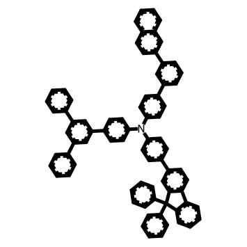 c1ccc(-c2cc(-c3ccccc3)cc(-c3ccc(N(c4ccc(-c5cccc(-c6ccc7ccccc7c6)c5)cc4)c4ccc(-c5ccc6c(c5)C(c5ccccc5)(c5ccccc5)c5ccccc5-6)cc4)cc3)c2)cc1